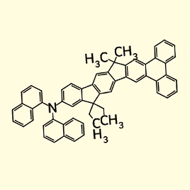 CCC1(CC)c2cc(N(c3cccc4ccccc34)c3cccc4ccccc34)ccc2-c2cc3c(cc21)-c1cc2c4ccccc4c4ccccc4c2cc1C3(C)C